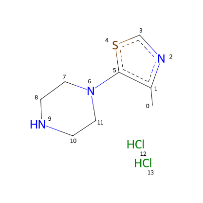 Cc1ncsc1N1CCNCC1.Cl.Cl